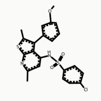 COc1cccc(-c2c(C)sc3nc(C)cc(NS(=O)(=O)c4ccc(Cl)cc4)c23)c1